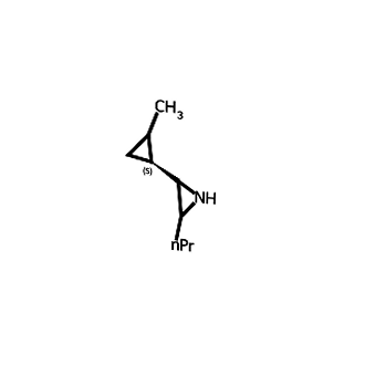 CCCC1NC1[C@H]1CC1C